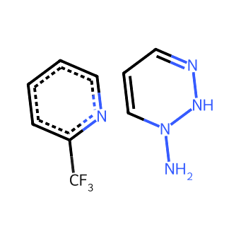 FC(F)(F)c1ccccn1.NN1C=CC=NN1